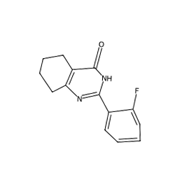 O=c1[nH]c(-c2ccccc2F)nc2c1CCCC2